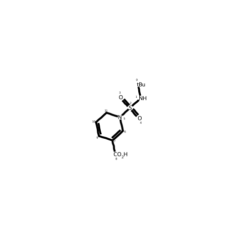 CC(C)(C)NS(=O)(=O)N1C=C(C(=O)O)C=CC1